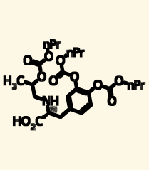 CCCOC(=O)Oc1ccc(C[C@H](NCC(C)OC(=O)OCCC)C(=O)O)cc1OC(=O)OCCC